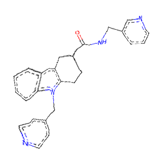 O=C(NCc1cccnc1)C1CCc2c(c3ccccc3n2Cc2ccncc2)C1